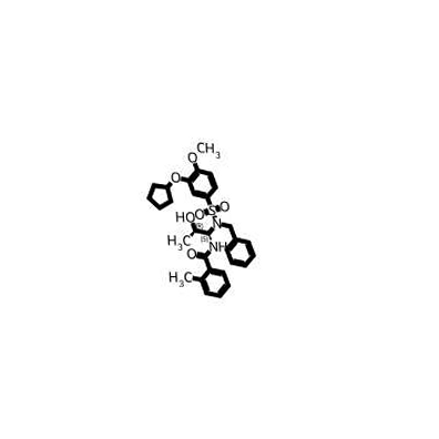 COc1ccc(S(=O)(=O)N(Cc2ccccc2)[C@H](NC(=O)c2ccccc2C)[C@@H](C)O)cc1OC1CCCC1